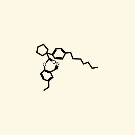 CCCCCCCc1ccc(C2(C(=O)Oc3ccc(CC)cc3C#N)CCCCC2)cc1